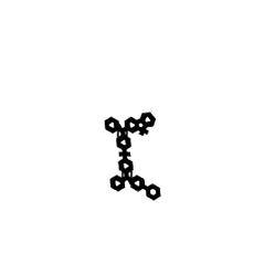 CC(C)(c1ccc(N(c2ccccc2)c2ccc(C3CCCCC3)cc2)cc1)c1ccc(N(c2ccccc2)c2ccc3c(c2)C(C)(C)c2ccccc2-3)cc1